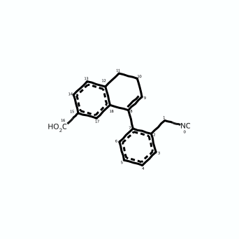 [C-]#[N+]Cc1ccccc1C1=CCCc2ccc(C(=O)O)cc21